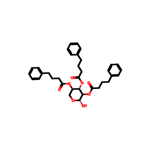 O=C(CCCc1ccccc1)O[C@@H]1[C@@H](OC(=O)CCCc2ccccc2)[C@H](OC(=O)CCCc2ccccc2)CO[C@H]1O